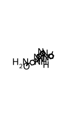 Cc1cccc(Nc2ncnc3cnc(NC4CCC(C(N)=O)CC4)nc23)c1